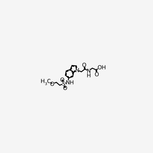 COCCS(=O)(=O)Nc1ccc2ccn(CC(=O)NCC(=O)O)c2c1